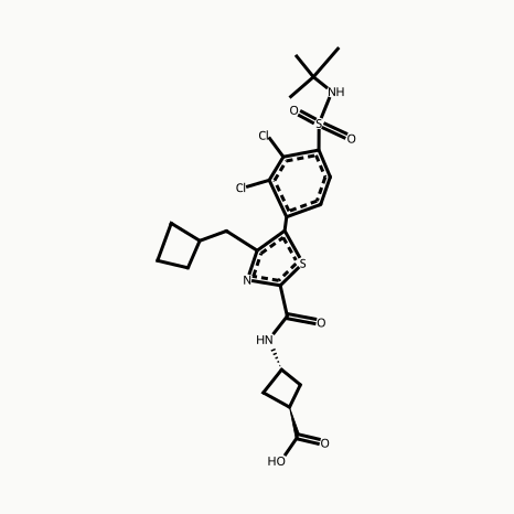 CC(C)(C)NS(=O)(=O)c1ccc(-c2sc(C(=O)N[C@H]3C[C@H](C(=O)O)C3)nc2CC2CCC2)c(Cl)c1Cl